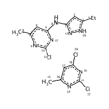 CCc1cc(Nc2cc(C)nc(Cl)n2)n[nH]1.Cc1cc(Cl)nc(Cl)n1